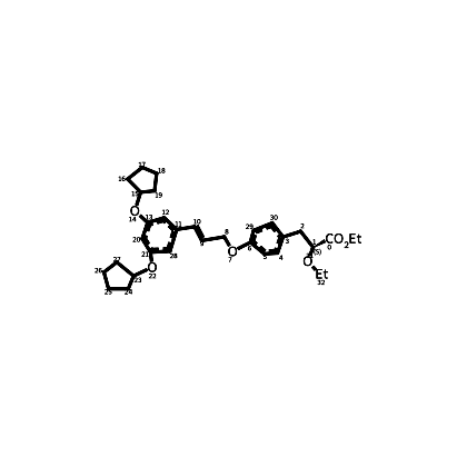 CCOC(=O)[C@H](Cc1ccc(OCC=Cc2cc(OC3CCCC3)cc(OC3CCCC3)c2)cc1)OCC